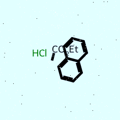 CCOC(C)=O.Cl.c1ccc2ccccc2c1